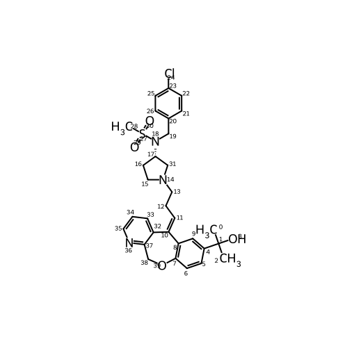 CC(C)(O)c1ccc2c(c1)/C(=C/CCN1CC[C@H](N(Cc3ccc(Cl)cc3)S(C)(=O)=O)C1)c1cccnc1CO2